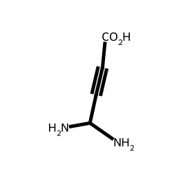 NC(N)C#CC(=O)O